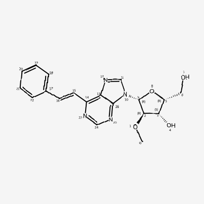 CO[C@@H]1[C@@H](O)[C@@H](CO)O[C@H]1n1cnc2c(C=Cc3ccccc3)ncnc21